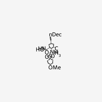 CCCCCCCCCCC#Cc1cc(C)c(NCS(=O)(=O)c2ccc(OC)cc2)c(C(=O)NO)c1